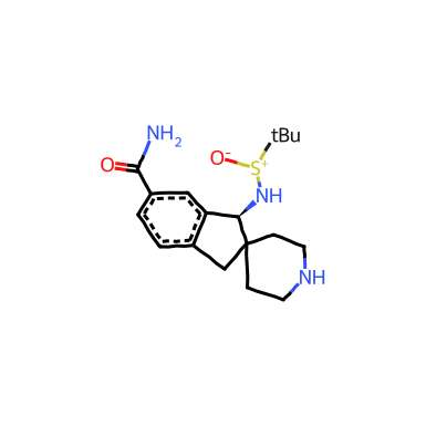 CC(C)(C)[S+]([O-])N[C@@H]1c2cc(C(N)=O)ccc2CC12CCNCC2